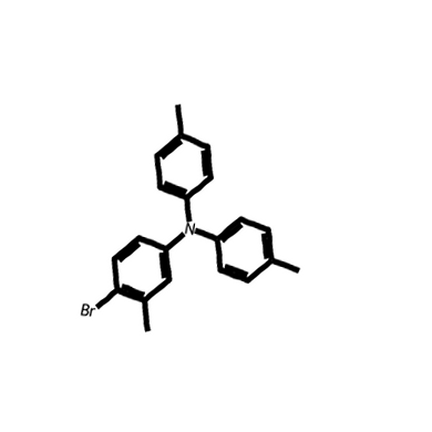 Cc1ccc(N(c2ccc(C)cc2)c2ccc(Br)c(C)c2)cc1